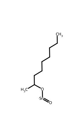 CCCCCCCC(C)[O][Sn]=[O]